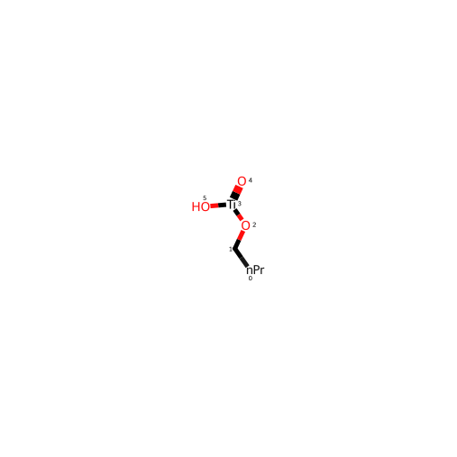 CCCC[O][Ti](=[O])[OH]